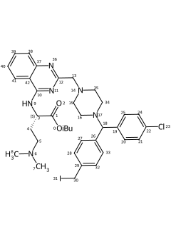 CC(C)COC(=O)[C@H](CCN(C)C)Nc1nc(CN2CCN(C(c3ccc(Cl)cc3)c3ccc(CI)cc3)CC2)nc2ccccc12